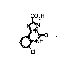 O=C(O)c1nc2c3cccc(Cl)c3[nH]c(=O)n2n1